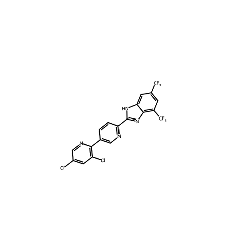 FC(F)(F)c1cc(C(F)(F)F)c2nc(-c3ccc(-c4ncc(Cl)cc4Cl)cn3)[nH]c2c1